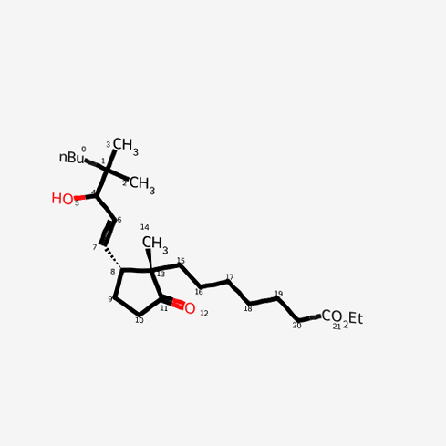 CCCCC(C)(C)C(O)C=C[C@H]1CCC(=O)[C@@]1(C)CCCCCCC(=O)OCC